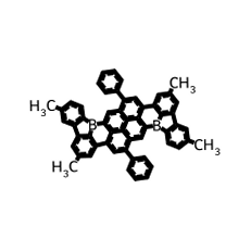 Cc1ccc2c(c1)-c1cc(C)cc3c1B2c1cc2c(-c4ccccc4)cc4c5c(cc6c(-c7ccccc7)cc-3c1c6c25)B1c2ccc(C)cc2-c2cc(C)cc-4c21